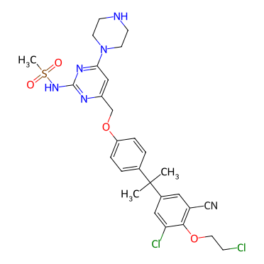 CC(C)(c1ccc(OCc2cc(N3CCNCC3)nc(NS(C)(=O)=O)n2)cc1)c1cc(Cl)c(OCCCl)c(C#N)c1